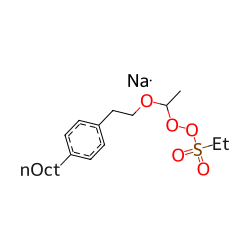 CCCCCCCCc1ccc(CCOC(C)OOS(=O)(=O)CC)cc1.[Na]